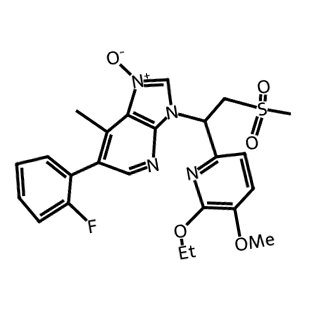 CCOc1nc(C(CS(C)(=O)=O)n2c[n+]([O-])c3c(C)c(-c4ccccc4F)cnc32)ccc1OC